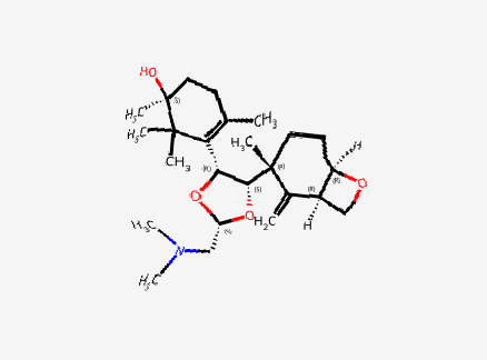 C=C1[C@@H]2CO[C@@H]2CC[C@@]1(C)[C@@H]1O[C@H](CN(C)C)O[C@@H]1C1=C(C)CC[C@](C)(O)C1(C)C